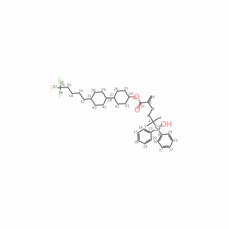 C=C(CCC(C)(C)[Si](O)(c1ccccc1)c1ccccc1)C(=O)OC1CCC(C2CCC(CCCCC(F)(F)F)CC2)CC1